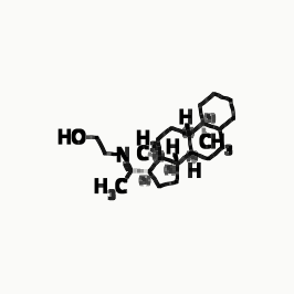 CC(=NCCO)[C@H]1CC[C@H]2[C@@H]3CCC4CCCC[C@]4(C)[C@H]3CC[C@]12C